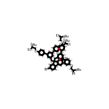 CCCCC(CC)COc1ccc(-c2cc(CC3(Cc4cc(-c5ccc(OCC(CC)CCCC)cc5)cc(-c5ccc(OCC(CC)CCCC)cc5)c4)c4cc(Br)ccc4-c4ccc(C#N)cc43)cc(-c3ccc(OCC(CC)CCCC)cc3)c2)cc1